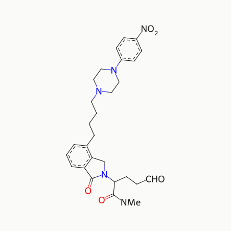 CNC(=O)C(CCC=O)N1Cc2c(CCCCN3CCN(c4ccc([N+](=O)[O-])cc4)CC3)cccc2C1=O